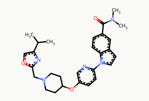 CC(C)c1coc(CN2CCC(Oc3ccc(-n4ccc5cc(C(=O)N(C)C)ccc54)nc3)CC2)n1